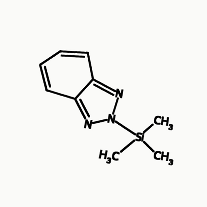 C[Si](C)(C)n1nc2ccccc2n1